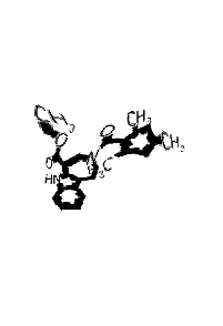 CCOC(=O)C1=CN(C(=O)c2c(C)cc(C)cc2C)CCc2c1[nH]c1ccccc21